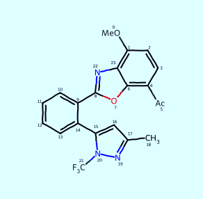 COc1ccc(C(C)=O)c2oc(-c3ccccc3-c3cc(C)nn3C(F)(F)F)nc12